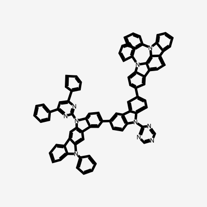 c1ccc(-c2cc(-c3ccccc3)nc(-n3c4ccc(-c5ccc6c(c5)c5cc(-c7ccc8c(c7)c7ccc9c%10ccccc%10n(-c%10ccccc%10)c9c7n8-c7ccccc7)ccc5n6-c5ncncn5)cc4c4cc5c(cc43)c3ccccc3n5-c3ccccc3)n2)cc1